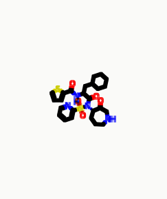 O=C(NC(CC1CCCCC1)C(=O)N([C@H]1CCCNCC1=O)S(=O)(=O)c1ccccn1)c1cccs1